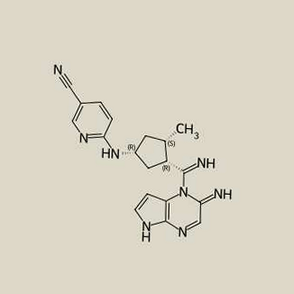 C[C@H]1C[C@@H](Nc2ccc(C#N)cn2)C[C@H]1C(=N)n1c(=N)cnc2[nH]ccc21